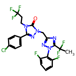 CC(F)(F)c1nc(Cn2nc(-c3ccc(Cl)cc3)n(CCC(F)(F)F)c2=O)nn1-c1c(F)cccc1F